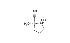 C#C[C@]1(C)CCCN1.Cl